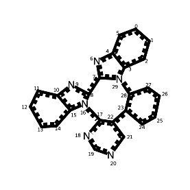 c1ccc2c(c1)nc1c3nc4ccccc4n3c3ncncc3c3ccccc3n21